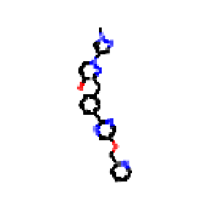 Cn1cc(-n2ccc(=O)c(Cc3cccc(-c4ncc(OCc5ccccn5)cn4)c3)n2)cn1